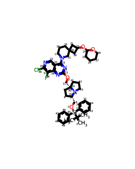 CC(C)(C)[Si](OC[C@@H]1CC[C@@]2(COc3nc(N4CCCC5(CC(OC6CCCCO6)C5)C4)c4cnc(Cl)c(F)c4n3)CCCN12)(c1ccccc1)c1ccccc1